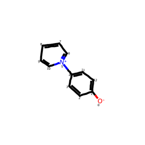 [O-]c1ccc(-[n+]2ccccc2)cc1